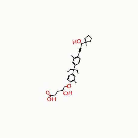 CCC(CC)(c1ccc(C#CC(O)C2(C)CCCC2)c(C)c1)c1ccc(OC[C@H](O)CCC(=O)O)c(C)c1